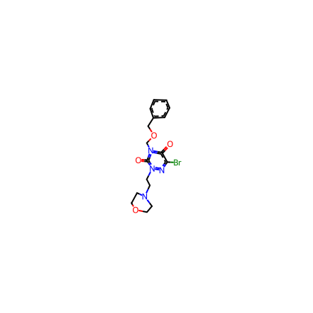 O=c1c(Br)nn(CCN2CCOCC2)c(=O)n1COCc1ccccc1